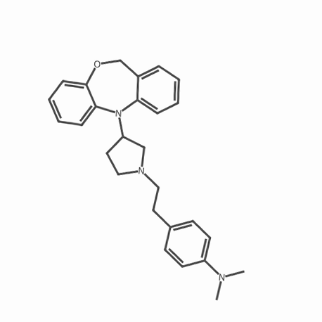 CN(C)c1ccc(CCN2CCC(N3c4ccccc4COc4ccccc43)C2)cc1